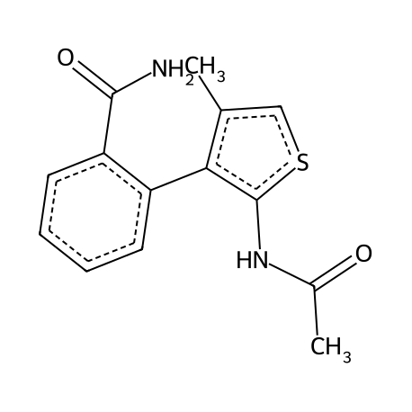 CC(=O)Nc1scc(C)c1-c1ccccc1C(N)=O